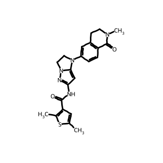 Cc1cc(C(=O)Nc2cc3n(n2)CCN3c2ccc3c(c2)CCN(C)C3=O)c(C)s1